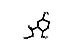 CC(C)(C)OC(=O)N1CC(N)CCC1C(=O)O